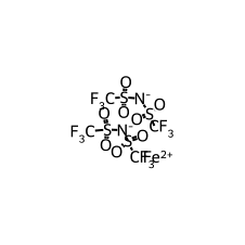 O=S(=O)([N-]S(=O)(=O)C(F)(F)F)C(F)(F)F.O=S(=O)([N-]S(=O)(=O)C(F)(F)F)C(F)(F)F.[Fe+2]